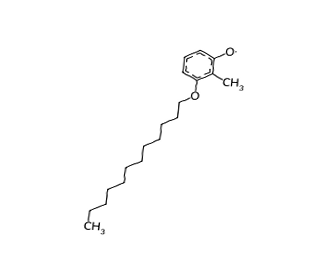 CCCCCCCCCCCCOc1cccc([O])c1C